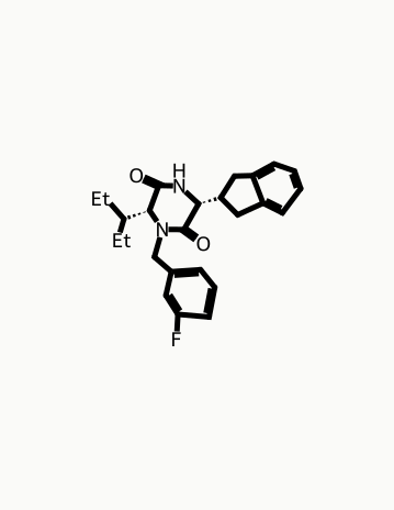 CCC(CC)[C@@H]1C(=O)N[C@H](C2Cc3ccccc3C2)C(=O)N1Cc1cccc(F)c1